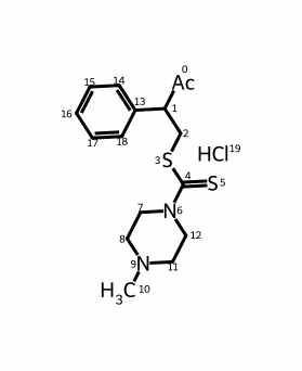 CC(=O)C(CSC(=S)N1CCN(C)CC1)c1ccccc1.Cl